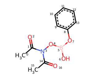 CC(=O)N(OB(O)Oc1ccccc1)C(C)=O